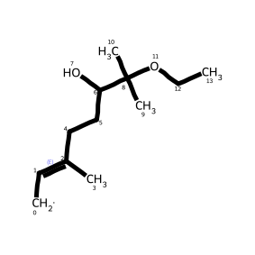 [CH2]/C=C(\C)CCC(O)C(C)(C)OCC